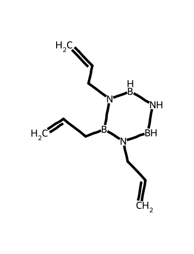 C=CCB1N(CC=C)BNBN1CC=C